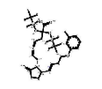 Cc1cccc(OCC/C=C/[C@H]2CCC(=O)[C@@H]2CC=C=CCC(O[Si](C)(C)C(C)(C)C)(O[Si](C)(C)C(C)(C)C)C(=O)O)c1